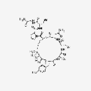 CC[C@H](C)C1NC(=O)[C@H](Cc2ccc(O)cc2)NC(=O)[C@@H](N)C(C)(C)SSC[C@@H](C(=O)N2CCCC2C(=O)N[C@@H](CC(C)C)C(=O)NCC(N)=O)NC(=O)[C@H](CC(N)=O)NC(=O)[C@H](CC(C)C)NC1=O